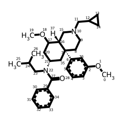 COc1cccc([C@@]23CCN(CC4CC4)C[C@H]2C(OC)C[C@@H](N(CC(C)C)C(=O)c2ccccc2)C3)c1